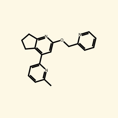 Cc1cccc(-c2cc(OCc3ccccn3)nc3c2CCC3)n1